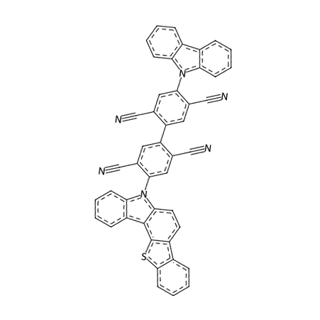 N#Cc1cc(-n2c3ccccc3c3ccccc32)c(C#N)cc1-c1cc(C#N)c(-n2c3ccccc3c3c4sc5ccccc5c4ccc32)cc1C#N